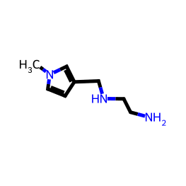 Cn1ccc(CNCCN)c1